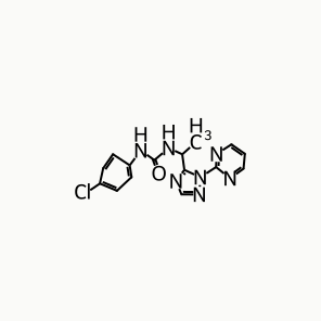 CC(NC(=O)Nc1ccc(Cl)cc1)c1ncnn1-c1ncccn1